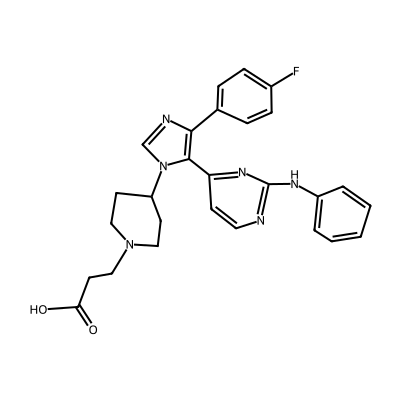 O=C(O)CCN1CCC(n2cnc(-c3ccc(F)cc3)c2-c2ccnc(Nc3ccccc3)n2)CC1